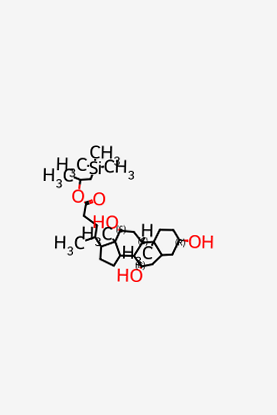 CC(C[Si](C)(C)C)OC(=O)CCC(C)C1CCC2C3[C@H](O)CC4C[C@H](O)CCC4(C)[C@H]3C[C@H](O)C12C